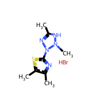 Br.CC1=NN(c2nc(C)c(C)s2)N(C)N1